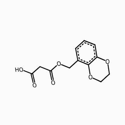 O=C(O)CC(=O)OCc1cccc2c1OCCO2